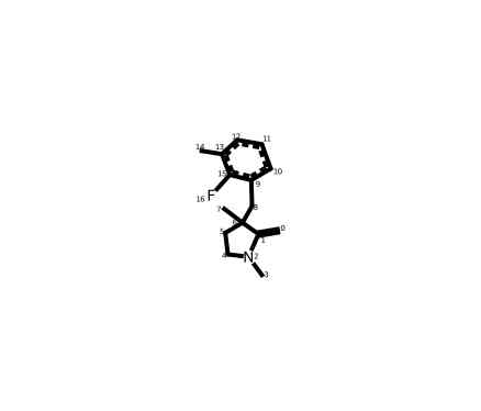 C=C1N(C)CCC1(C)Cc1cccc(C)c1F